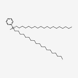 CCCCCCCCCCCCCCCCCCC[N+](C)(CCCCCCCCCCCCCCCCCCC)c1ccccc1